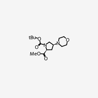 COC(=O)[C@@H]1C[C@H](N2CCOCC2)CN1C(=O)OC(C)(C)C